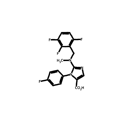 CN(Cc1c(F)ccc(F)c1F)c1ncc(C(=O)O)n1-c1ccc(F)cc1